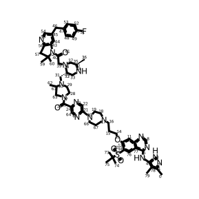 Cc1n[nH]c(Nc2ncnc3cc(OCCCN4CCN(c5cnc(C(=O)N6CCN(C[C@H]7CN[C@H](C)CN7CC(=O)N7c8cc(Cc9ccc(F)cc9)cnc8CC7(C)C)C(C)C6)cn5)CC4)c(S(=O)(=O)C(C)(C)C)cc23)c1C